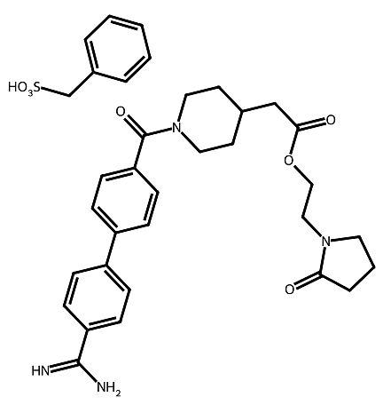 N=C(N)c1ccc(-c2ccc(C(=O)N3CCC(CC(=O)OCCN4CCCC4=O)CC3)cc2)cc1.O=S(=O)(O)Cc1ccccc1